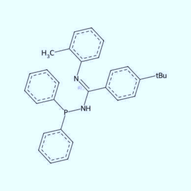 Cc1ccccc1/N=C(/NP(c1ccccc1)c1ccccc1)c1ccc(C(C)(C)C)cc1